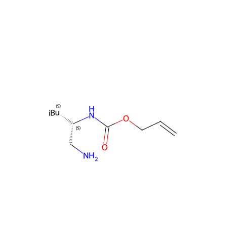 C=CCOC(=O)N[C@H](CN)[C@@H](C)CC